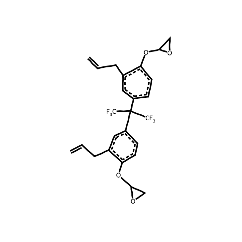 C=CCc1cc(C(c2ccc(OC3CO3)c(CC=C)c2)(C(F)(F)F)C(F)(F)F)ccc1OC1CO1